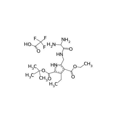 CCOC(=O)c1c(CNC(=O)C(N)N)[nH]c(C(=O)OC(C)(C)C)c1CC.O=C(O)C(F)(F)F